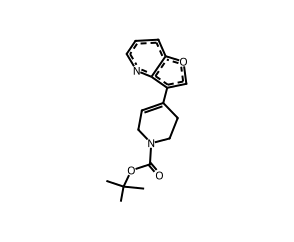 CC(C)(C)OC(=O)N1CC=C(c2coc3cccnc23)CC1